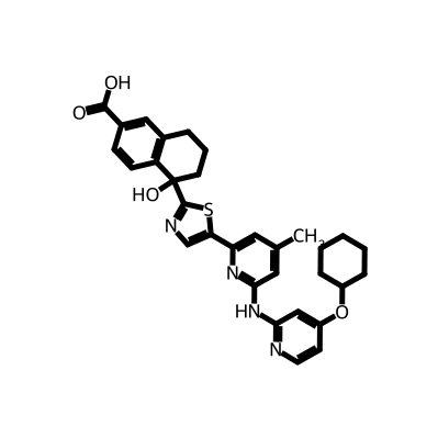 Cc1cc(Nc2cc(OC3CCCCC3)ccn2)nc(-c2cnc(C3(O)CCCc4cc(C(=O)O)ccc43)s2)c1